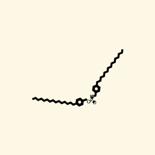 CCCCCCCCCCCCCCCc1ccc(CO[PH](=O)OCc2ccc(CCCCCCCCCCCCCCC)cc2)cc1